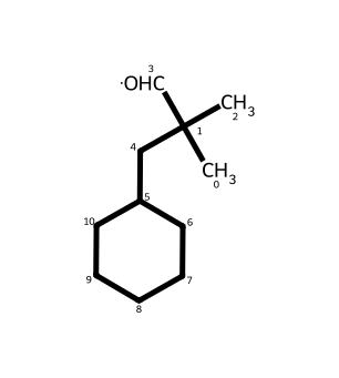 CC(C)([C]=O)CC1CCCCC1